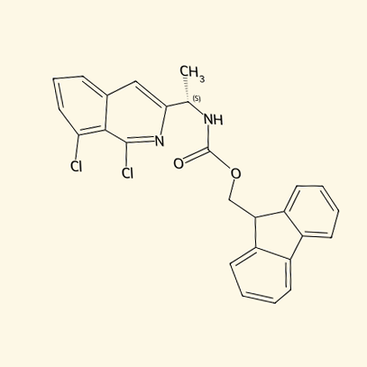 C[C@H](NC(=O)OCC1c2ccccc2-c2ccccc21)c1cc2cccc(Cl)c2c(Cl)n1